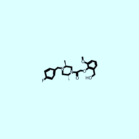 COc1cccc(CO)c1OCC(=O)N1C[C@H](C)N(Cc2ccc(F)cc2)C[C@H]1C